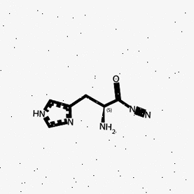 N#[N+]C(=O)[C@@H](N)Cc1c[nH]cn1